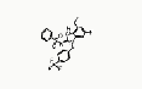 CCc1cc(F)cc2c1[nH]c(=NS(=O)(=O)c1ccccc1)n2Cc1ccc(C(F)(F)F)cc1